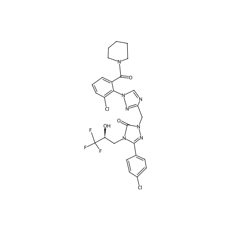 O=C(c1cccc(Cl)c1-n1cnc(Cn2nc(-c3ccc(Cl)cc3)n(C[C@H](O)C(F)(F)F)c2=O)n1)N1CCCCC1